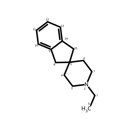 CCN1CCC2(CC1)Cc1ccccc1C2